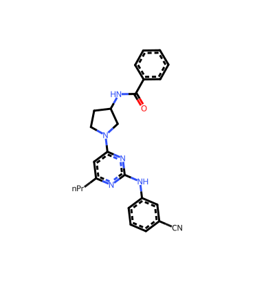 CCCc1cc(N2CCC(NC(=O)c3ccccc3)C2)nc(Nc2cccc(C#N)c2)n1